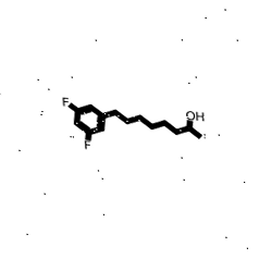 [CH2]C(O)CCCCCCc1cc(F)cc(F)c1